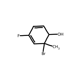 CC1(Br)C=C(F)C=CC1O